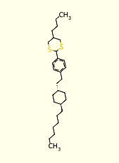 CCCCCCC[C@H]1CC[C@H](CCc2ccc(C3SCC(CCCC)CS3)cc2)CC1